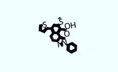 CSc1cc(-c2cccs2)c2c(c1C(=O)O)-c1cn(-c3ccccc3)nc1CC2